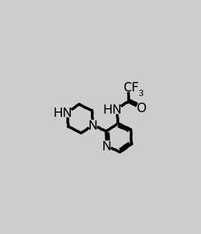 O=C(Nc1cccnc1N1CCNCC1)C(F)(F)F